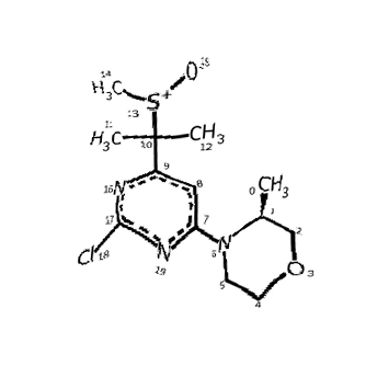 C[C@H]1COCCN1c1cc(C(C)(C)[S+](C)[O-])nc(Cl)n1